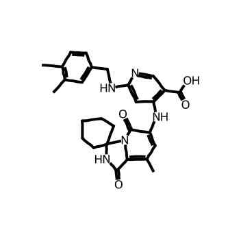 Cc1ccc(CNc2cc(Nc3cc(C)c4n(c3=O)C3(CCCCC3)NC4=O)c(C(=O)O)cn2)cc1C